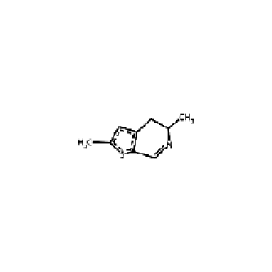 Cc1cc2c(s1)C=NC(C)C2